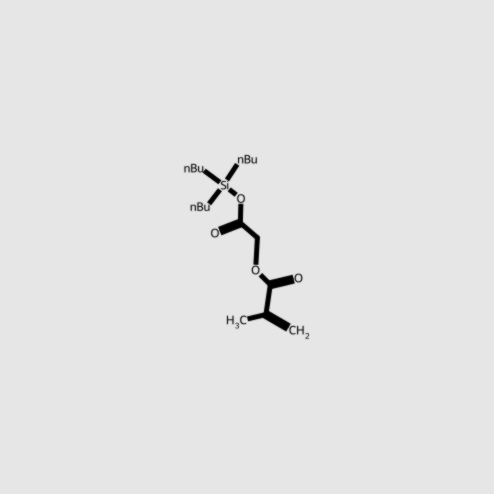 C=C(C)C(=O)OCC(=O)O[Si](CCCC)(CCCC)CCCC